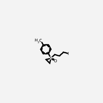 Cc1ccc(S2(=O)(CCCI)CC2)cc1